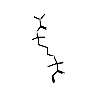 C=CC(=O)C(C)(C)OCCCC(C)(C)OC(=O)N(C)C